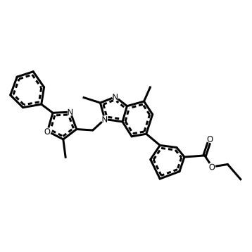 CCOC(=O)c1cccc(-c2cc(C)c3nc(C)n(Cc4nc(-c5ccccc5)oc4C)c3c2)c1